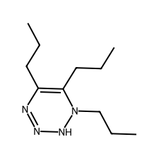 CCCC1=C(CCC)N(CCC)NN=N1